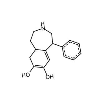 OC1=C(O)CC2CCNCC(c3ccccc3)C2=C1